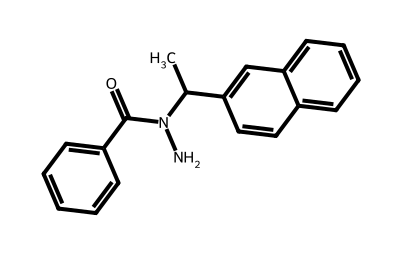 CC(c1ccc2ccccc2c1)N(N)C(=O)c1ccccc1